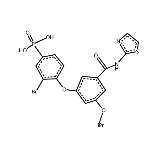 CC(C)Oc1cc(Oc2ccc(P(=O)(O)O)cc2Br)cc(C(=O)Nc2nccs2)c1